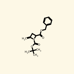 C=C1CC(C(=O)OCc2ccccc2)N1C(=O)OC(C)(C)C